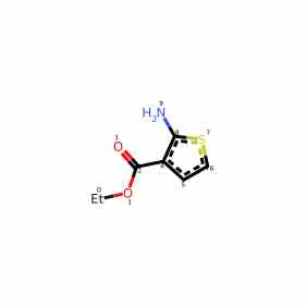 CCOC(=O)c1c[c]sc1N